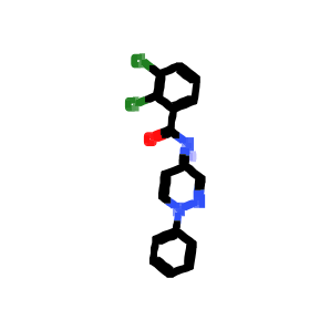 O=C(/N=c1\ccn(-c2ccccc2)nc1)c1cccc(Cl)c1Cl